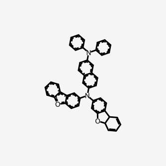 C1=CC2Oc3cc(N(c4ccc5cc(N(c6ccccc6)c6ccccc6)ccc5c4)c4ccc5oc6ccccc6c5c4)ccc3C2C=C1